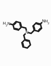 Nc1ccc(CN(CC2=CCCC=C2)Cc2ccc(N)cc2)cc1